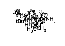 CC(C)(C)[C@H](NC(=O)N[C@H](C(=O)N1C[C@H]2[C@@H]([C@H]1C(=O)NC(C(=O)C(N)=O)C1CC1)C2(C)C)C1CCCCC1)C(=O)OCc1ccco1